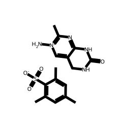 Cc1cc(C)c(S(=O)(=O)[O-])c(C)c1.Cc1nc2c(c[n+]1N)CNC(=O)N2